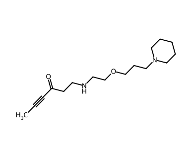 CC#CC(=O)CCNCCOCCCN1CCCCC1